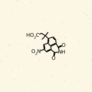 CC(C)(CC(=O)O)c1ccc2c3c(cc([N+](=O)[O-])cc13)C(=O)NC2=O